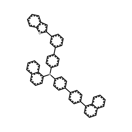 c1cc(-c2ccc(N(c3ccc(-c4ccc(-c5cccc6ccccc56)cc4)cc3)c3cccc4ccccc34)cc2)cc(-c2cc3ccccc3o2)c1